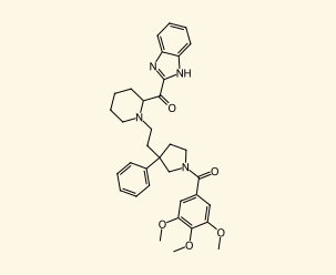 COc1cc(C(=O)N2CCC(CCN3CCCCC3C(=O)c3nc4ccccc4[nH]3)(c3ccccc3)C2)cc(OC)c1OC